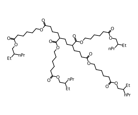 CCCC(CC)COC(=O)CCCCCOC(=O)CCCC(CCC(CCCC(=O)OCCCCCC(=O)OCC(CC)CCC)C(=O)OCCCCCC(=O)OCC(CC)CCC)C(=O)OCCCCCC(=O)OCC(CC)CCC